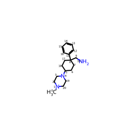 CN1CCN(C2CCC(CN)(c3ccccc3)CC2)CC1